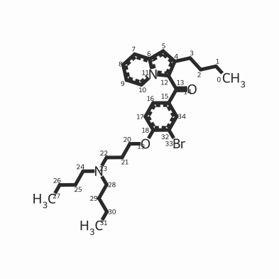 CCCCc1cc2ccccn2c1C(=O)c1ccc(OCCCN(CCCC)CCCC)c(Br)c1